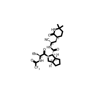 CC1(C)CC[C@@H](C[C@@H](C#N)NC(=O)[C@@H]2[C@H]3CCC[C@H]3CN2C(=O)[C@@H](NC(=O)C(F)(F)F)C(C)(C)C)C(=O)N1